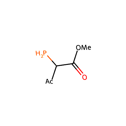 COC(=O)C(P)C(C)=O